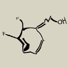 ON=C1[C]=CC=C(F)C1F